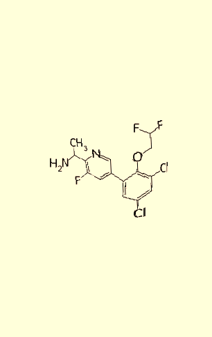 CC(N)c1ncc(-c2cc(Cl)cc(Cl)c2OCC(F)F)cc1F